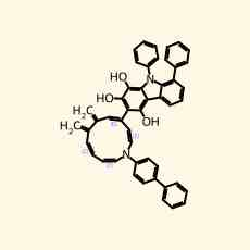 C=C1/C=C\C=C/N(c2ccc(-c3ccccc3)cc2)/C=C\C(c2c(O)c(O)c3c(c2O)c2cccc(-c4ccccc4)c2n3-c2ccccc2)=C/C1=C